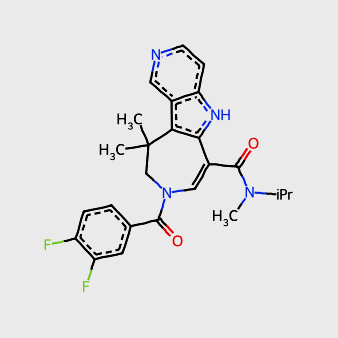 CC(C)N(C)C(=O)C1=CN(C(=O)c2ccc(F)c(F)c2)CC(C)(C)c2c1[nH]c1ccncc21